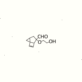 O=CC1(OCCO)CC2CC23C=CC13